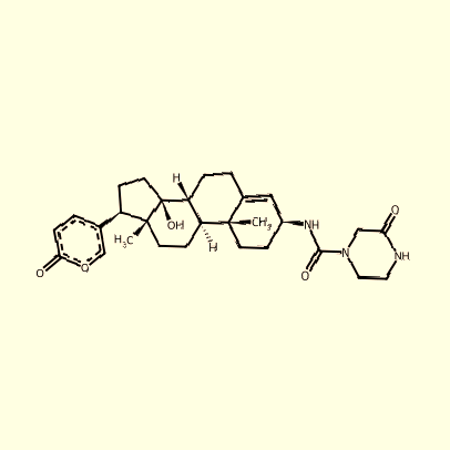 C[C@]12CC[C@H](NC(=O)N3CCNC(=O)C3)C=C1CC[C@@H]1[C@@H]2CC[C@]2(C)[C@@H](c3ccc(=O)oc3)CC[C@]12O